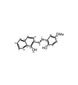 COc1ccc(O)c(/N=N/c2ccc3ccccc3c2O)c1